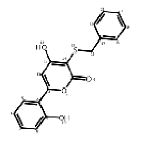 O=c1oc(-c2ccccc2O)cc(O)c1SCc1ccccc1